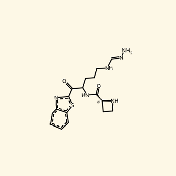 NN=CNCCCC(NC(=O)[C@@H]1CCN1)C(=O)c1nc2ccccc2s1